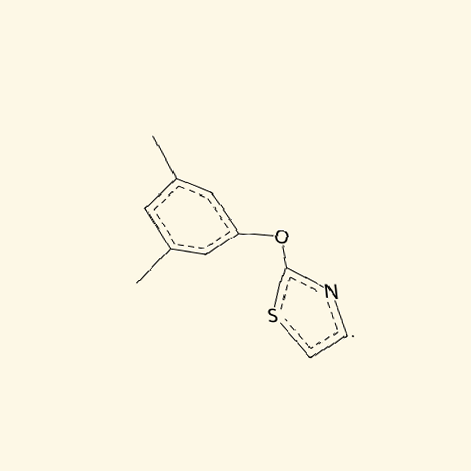 Cc1cc(C)cc(Oc2n[c]cs2)c1